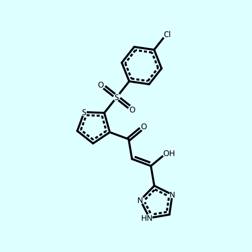 O=C(C=C(O)c1nc[nH]n1)c1ccsc1S(=O)(=O)c1ccc(Cl)cc1